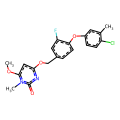 COc1cc(OCc2ccc(Oc3ccc(Cl)c(C)c3)c(F)c2)nc(=O)n1C